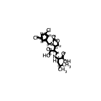 CC(C)CC(NCC(C(=O)O)C1COC(=O)N1Cc1cc(Cl)cc(Cl)c1)C(=O)O